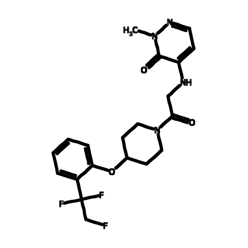 Cn1nccc(NCC(=O)N2CCC(Oc3ccccc3C(F)(F)CF)CC2)c1=O